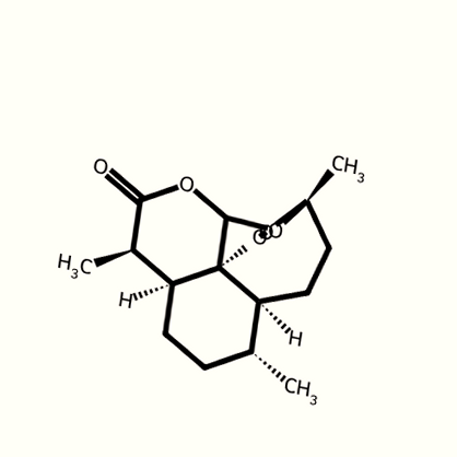 C[C@@H]1CC[C@H]2[C@@H](C)C(=O)OC3O[C@@]4(C)CC[C@@H]1[C@]32OO4